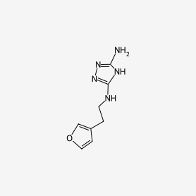 Nc1nnc(NCCc2ccoc2)[nH]1